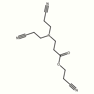 N#CCCOC(=O)CCN(CCC#N)CCC#N